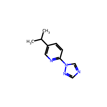 CC(C)c1ccc(-n2cncn2)nc1